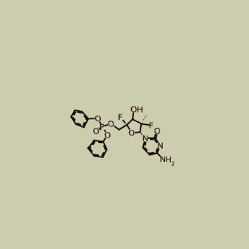 C[C@@]1(F)C(O)[C@@](F)(COP(=O)(Oc2ccccc2)Oc2ccccc2)O[C@H]1n1ccc(N)nc1=O